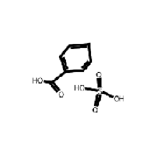 O=C(O)c1ccccc1.O=S(=O)(O)O